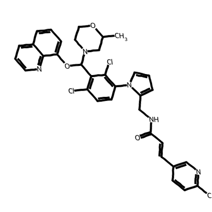 CC1CN(C(Oc2cccc3cccnc23)c2c(Cl)ccc(-n3cccc3CNC(=O)/C=C/c3ccc(C(=O)O)nc3)c2Cl)CCO1